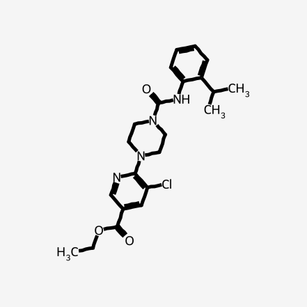 CCOC(=O)c1cnc(N2CCN(C(=O)Nc3ccccc3C(C)C)CC2)c(Cl)c1